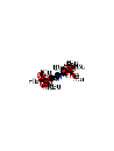 Cc1cc(-c2ccc(-c3ccc([C@H]4O[C@H](COC(=O)C(C)(C)C)[C@@H](OC(=O)C(C)(C)C)[C@H](OC(=O)C(C)(C)C)[C@@H]4OC(=O)C(C)(C)C)c(C)c3)c(C)n2)ccc1[C@H]1O[C@H](COC(=O)C(C)(C)C)[C@@H](OC(=O)C(C)(C)C)[C@H](OC(=O)C(C)(C)C)[C@@H]1OC(=O)C(C)(C)C